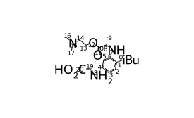 CCC(C)c1ccccc1N[C@@H](C)C(=O)OCCN(C)C.NCC(=O)O